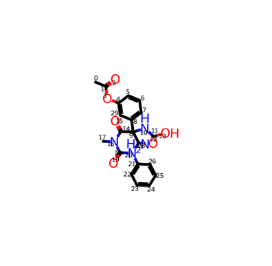 CC(=O)Oc1cccc(C2(NC(=O)O)C(=O)N(C)C(=O)N(c3ccccc3)C2N)c1